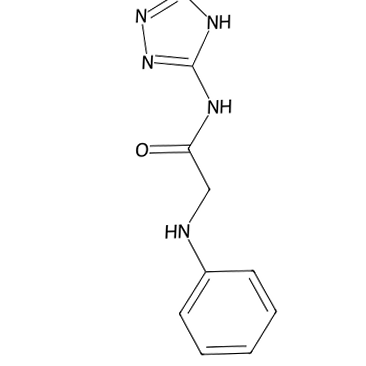 O=C(CNc1ccccc1)Nc1nnn[nH]1